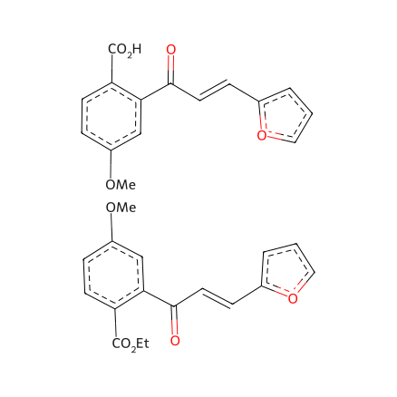 CCOC(=O)c1ccc(OC)cc1C(=O)C=Cc1ccco1.COc1ccc(C(=O)O)c(C(=O)C=Cc2ccco2)c1